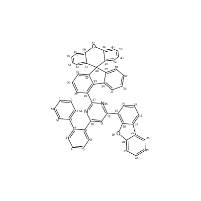 c1ccc(-c2ccccc2-c2cc(-c3cccc4c3oc3ccccc34)nc(-c3cccc4c3-c3ccccc3C43c4ccccc4Oc4ccccc43)n2)cc1